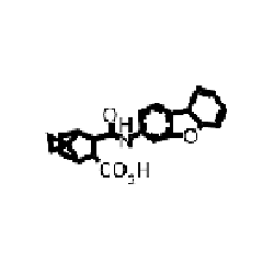 O=C(O)C1C(C(=O)Nc2ccc3c(c2)OC2C=CC=CC32)C2CCC1C21CC1